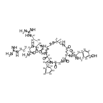 CC1(C)CNC(=O)C[C@@H](NC(=O)[C@@H](N)Cc2ccc(O)cc2)C(=O)NCC(=O)N[C@@H](Cc2ccccc2)C(=O)N[C@H](C(=O)N[C@@H](CCCNC(=N)N)C(=O)N[C@@H](CCCNC(=N)N)C(N)=O)CSS1